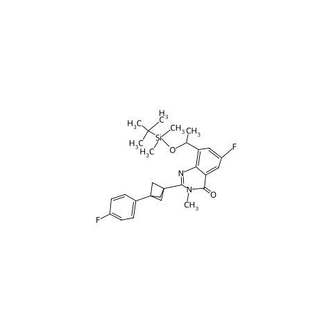 CC(O[Si](C)(C)C(C)(C)C)c1cc(F)cc2c(=O)n(C)c(C34CC(c5ccc(F)cc5)(C3)C4)nc12